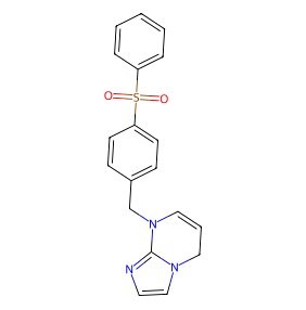 O=S(=O)(c1ccccc1)c1ccc(CN2C=CCn3ccnc32)cc1